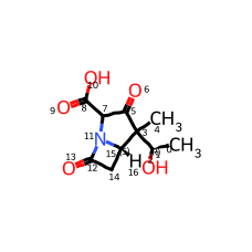 C[C@@H](O)C1(C)C(=O)C(C(=O)O)N2C(=O)C[C@H]21